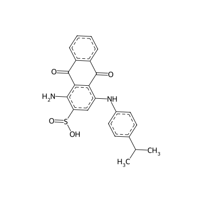 CC(C)c1ccc(Nc2cc(S(=O)O)c(N)c3c2C(=O)c2ccccc2C3=O)cc1